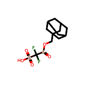 O=S(OCC12CC3CC(CC(C3)C1)C2)C(F)(F)S(=O)(=O)O